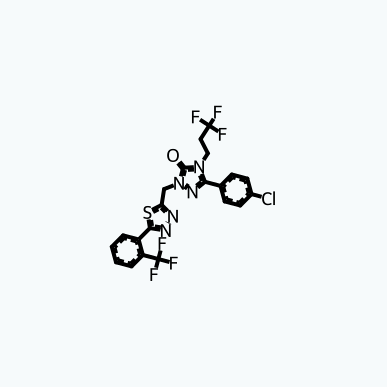 O=c1n(Cc2nnc(-c3ccccc3C(F)(F)F)s2)nc(-c2ccc(Cl)cc2)n1CCC(F)(F)F